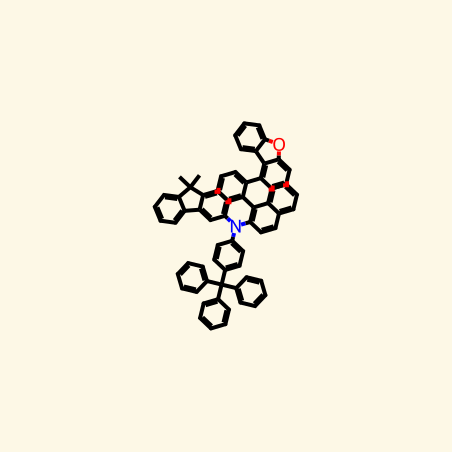 CC1(C)c2ccccc2-c2cc(N(c3ccc(C(c4ccccc4)(c4ccccc4)c4ccccc4)cc3)c3ccc4ccccc4c3-c3ccccc3-c3cccc4oc5ccccc5c34)ccc21